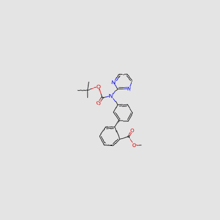 COC(=O)c1ccccc1-c1cccc(N(C(=O)OC(C)(C)C)c2ncccn2)c1